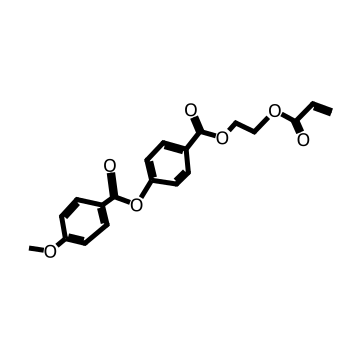 C=CC(=O)OCCOC(=O)c1ccc(OC(=O)c2ccc(OC)cc2)cc1